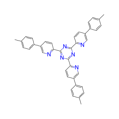 Cc1ccc(-c2ccc(-c3nc(-c4ccc(-c5ccc(C)cc5)cn4)nc(-c4ccc(-c5ccc(C)cc5)cn4)n3)nc2)cc1